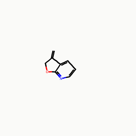 C=C1COc2ncccc21